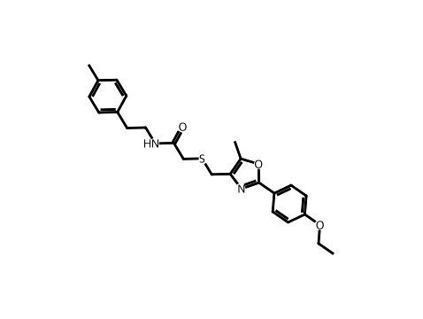 CCOc1ccc(-c2nc(CSCC(=O)NCCc3ccc(C)cc3)c(C)o2)cc1